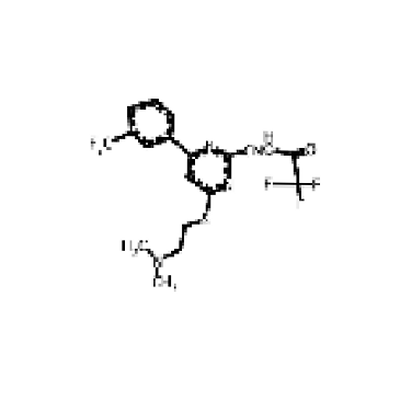 CN(C)CCSc1cc(-c2cccc(C(F)(F)F)c2)nc(C#N)n1.O=C(O)C(F)(F)F